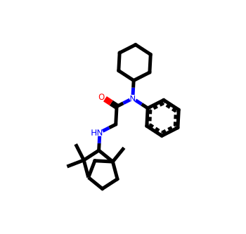 CC12CCC(C1)C(C)(C)C2NCC(=O)N(c1ccccc1)C1CCCCC1